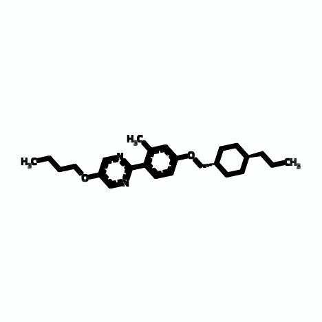 CCCCOc1cnc(-c2ccc(OC[C@H]3CC[C@H](CCC)CC3)cc2C)nc1